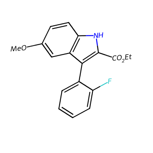 CCOC(=O)c1[nH]c2ccc(OC)cc2c1-c1ccccc1F